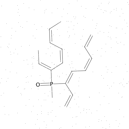 C=C/C=C\C=C(/C=C)P(C)(=O)C(/C=C\C=C/C)=C/C